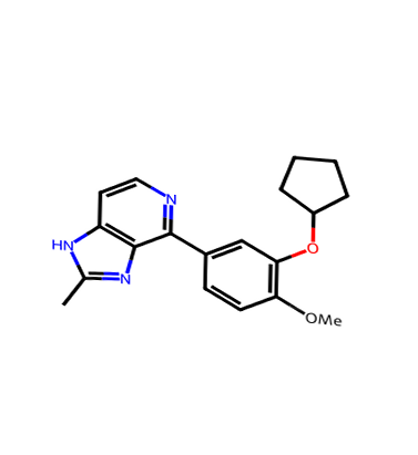 COc1ccc(-c2nccc3[nH]c(C)nc23)cc1OC1CCCC1